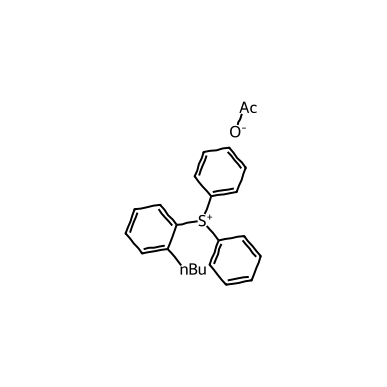 CC(=O)[O-].CCCCc1ccccc1[S+](c1ccccc1)c1ccccc1